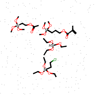 C=C(C)C(=O)OCCC[Si](OC)(OC)OC.CCO[SiH](OCC)OCC.CCO[Si](CCCl)(OCC)OCC.CO[Si](CCOC(C)=O)(OC)OC